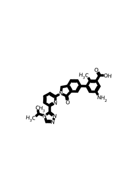 Cc1c(C(=O)O)cc(N)cc1-c1ccc2c(c1)C(=O)N(c1cccc(-c3nncn3C(C)C)n1)C2